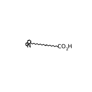 O=C(O)CCCCCCCC=CCCCCCCCCc1cccc2cccnc12